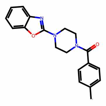 [CH2]c1ccc(C(=O)N2CCN(c3nc4ccccc4o3)CC2)cc1